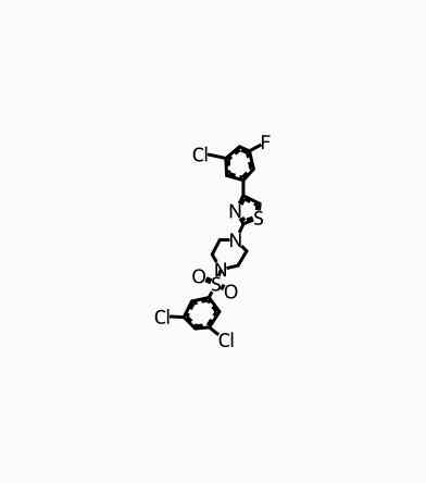 O=S(=O)(c1cc(Cl)cc(Cl)c1)N1CCN(c2nc(-c3cc(F)cc(Cl)c3)cs2)CC1